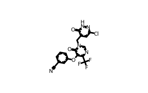 N#Cc1cccc(Oc2c(C(F)(F)F)ncn(Cc3cc(Cl)n[nH]c3=O)c2=O)c1